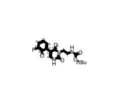 CC(C)(C)OC(=O)NCCn1c(=O)[nH]cc(-c2cccc(F)c2Cl)c1=O